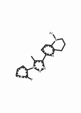 CC(=O)N1CCCc2nc(-c3nnn(-c4cccnc4F)c3C)ccc21